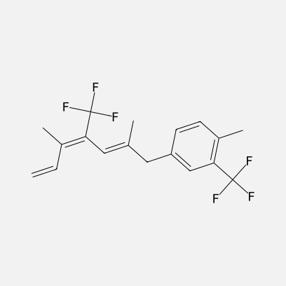 C=C/C(C)=C(\C=C(/C)Cc1ccc(C)c(C(F)(F)F)c1)C(F)(F)F